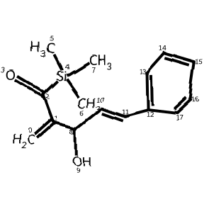 C=C(C(=O)[Si](C)(C)C)C(O)/C=C/c1ccccc1